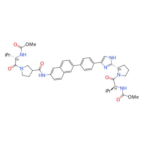 COC(=O)N[C@H](C(=O)N1CCC(C(=O)Nc2ccc3cc(-c4ccc(-c5c[nH]c([C@@H]6CCCN6C(=O)[C@@H](NC(=O)OC)C(C)C)n5)cc4)ccc3c2)C1)C(C)C